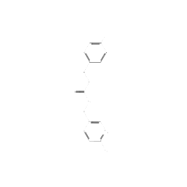 Nc1ccc(CNC(=O)[CH]Cc2ccc(F)cc2)cn1